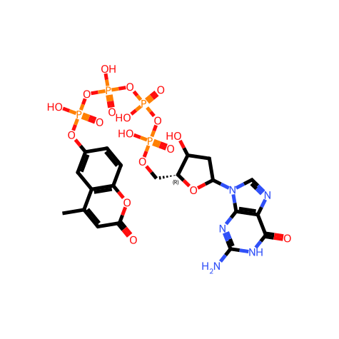 Cc1cc(=O)oc2ccc(OP(=O)(O)OP(=O)(O)OP(=O)(O)OP(=O)(O)OC[C@H]3OC(n4cnc5c(=O)[nH]c(N)nc54)CC3O)cc12